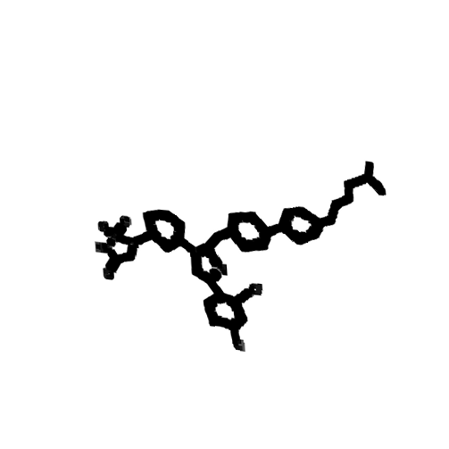 CC(C)CCCCc1ccc(-c2ccc(Cc3nc(-c4ccc(Cl)cc4Cl)cn3-c3cccc(N4CC(=O)NS4(=O)=O)c3)cc2)cc1